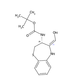 CC(C)(C)OC(=O)N[C@H]1CSc2ccccc2N/C1=C/O